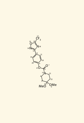 COC1(OC)CCN(C(=O)Oc2ccc(-c3noc(C(F)(F)F)n3)cc2)CC1